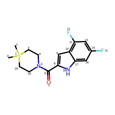 CS1(C)CCN(C(=O)c2cc3c(F)cc(F)cc3[nH]2)CC1